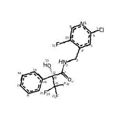 O=C(NCc1cc(Cl)ncc1F)[C@](O)(c1ccccc1)C(F)(F)F